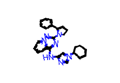 c1ccc(C2CCCN2c2nc(Nc3cn(C4CCCCC4)cn3)c3cccn3n2)cc1